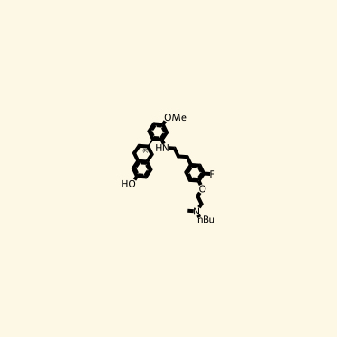 CCCCN(C)CCOc1ccc(CCCNc2cc(OC)ccc2[C@@H]2CCc3cc(O)ccc3C2)cc1F